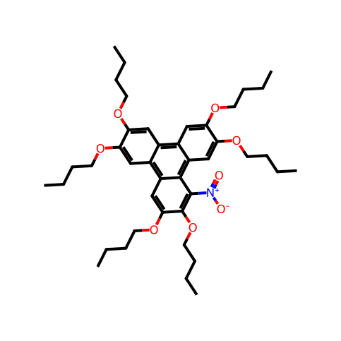 CCCCOc1cc2c3cc(OCCCC)c(OCCCC)cc3c3c([N+](=O)[O-])c(OCCCC)c(OCCCC)cc3c2cc1OCCCC